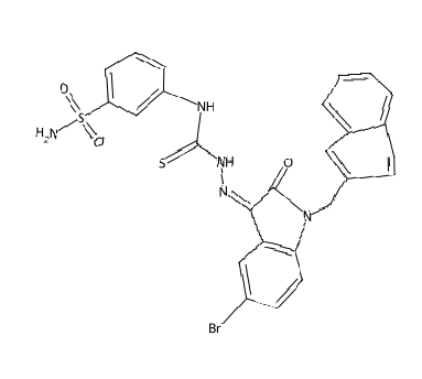 NS(=O)(=O)c1cccc(NC(=S)NN=C2C(=O)N(Cc3ccc4ccccc4c3)c3ccc(Br)cc32)c1